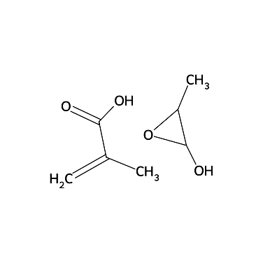 C=C(C)C(=O)O.CC1OC1O